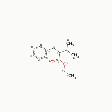 CCOC(=O)C(Cc1ccccc1)C(C)C